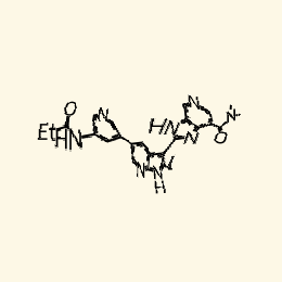 CCC(=O)Nc1cncc(-c2cnc3[nH]nc(-c4nc5c(C(=O)N(C)C)cncc5[nH]4)c3c2)c1